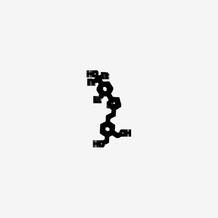 CCc1cc(C(O)(CC)CC)ccc1-c1ccc(CCc2ccc(CO)c(CO)c2)s1